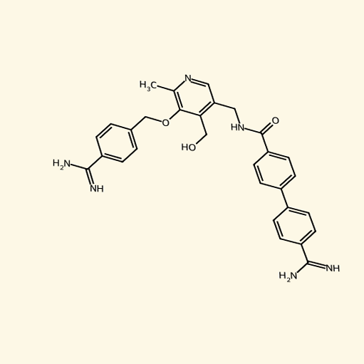 Cc1ncc(CNC(=O)c2ccc(-c3ccc(C(=N)N)cc3)cc2)c(CO)c1OCc1ccc(C(=N)N)cc1